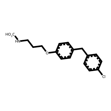 O=C(O)NCCCOc1ccc(Cc2ccc(Cl)cc2)cc1